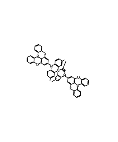 Cc1ccc2c(c1)[Si]1(c3cc(C)ccc3N2c2cc3c4c(c2)Sc2ccccc2B4c2ccccc2O3)c2cc(C)ccc2N(c2cc3c4c(c2)Sc2ccccc2B4c2ccccc2O3)c2ccc(C)cc21